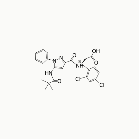 CC(C)(C)C(=O)Nc1cc(C(=O)N[C@@H](CC(=O)O)c2ccc(Cl)cc2Cl)nn1-c1ccccc1